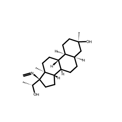 C=N[C@]1([C@@H](C)O)CC[C@H]2[C@@H]3CC[C@@H]4C[C@](C)(O)CC[C@@H]4[C@H]3CC[C@@]21C